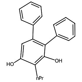 CCCc1c(O)cc(-c2ccccc2)c(-c2ccccc2)c1O